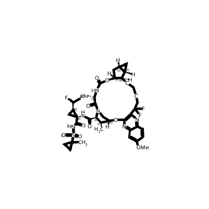 COc1ccc2nc3c(nc2c1)O[C@H]1CN(C(=O)[C@H](C(C)(C)C)NC(=O)O[C@@H]2C[C@@H]4C[C@@H]4[C@H]2CCCCC3(F)F)[C@H](C(=O)N[C@]2(C(=O)NS(=O)(=O)C3(C)CC3)C[C@H]2C(F)F)[C@@H]1C